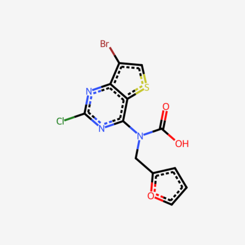 O=C(O)N(Cc1ccco1)c1nc(Cl)nc2c(Br)csc12